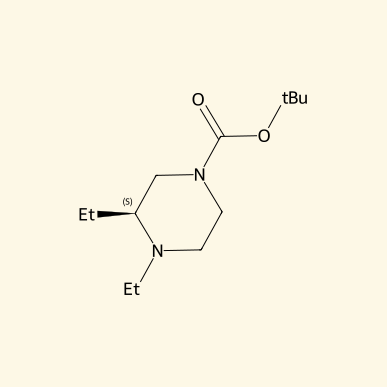 CC[C@H]1CN(C(=O)OC(C)(C)C)CCN1CC